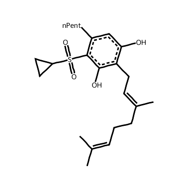 CCCCCc1cc(O)c(C/C=C(\C)CCC=C(C)C)c(O)c1S(=O)(=O)C1CC1